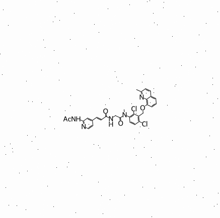 CC(=O)Nc1cc(/C=C/C(=O)NCC(=O)N(C)c2ccc(Cl)c(COc3cccc4ccc(C)nc34)c2Cl)ccn1